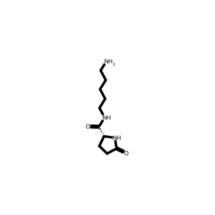 NCCCCCNC(=O)[C@H]1CCC(=O)N1